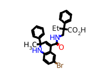 CCC(CNC(=O)C1=CC(C)(c2ccccc2)Nc2ccc(Br)cc21)(C(=O)O)c1ccccc1